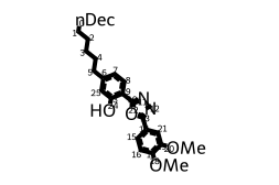 CCCCCCCCCCCCCCCc1ccc(-c2nnc(-c3ccc(OC)c(OC)c3)o2)c(O)c1